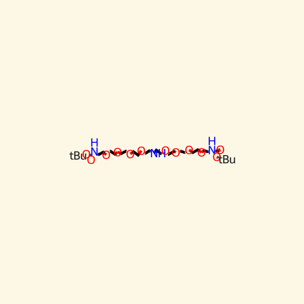 CC(C)(C)OC(=O)NCCOCCOCCOCCOCCNCCOCCOCCOCCOCCNC(=O)OC(C)(C)C